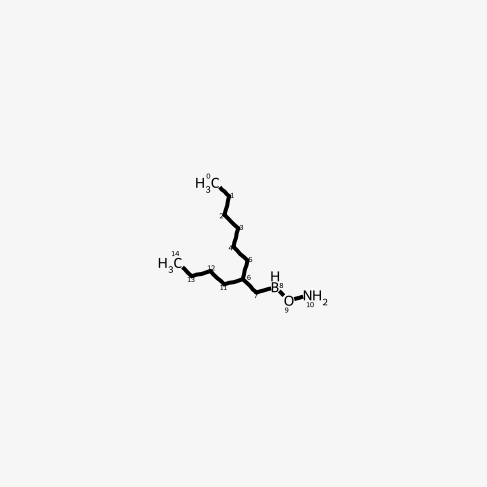 CCCCCCC(CBON)CCCC